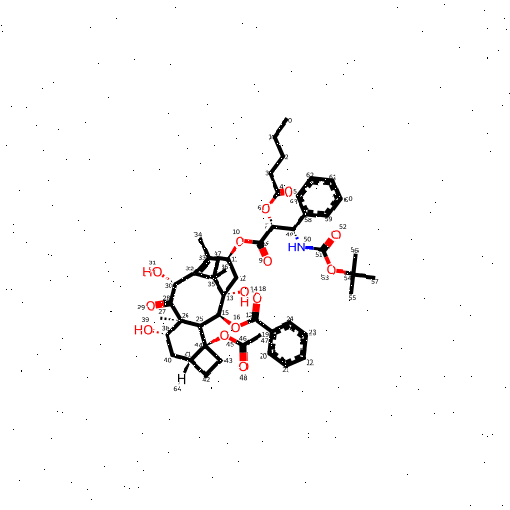 CCCCC(=O)O[C@@H](C(=O)O[C@H]1C[C@@]2(O)[C@@H](OC(=O)c3ccccc3)C3[C@](C)(C(=O)[C@H](O)C(=C1C)C2(C)C)[C@@H](O)C[C@H]1CC[C@@]31OC(C)=O)[C@@H](NC(=O)OC(C)(C)C)c1ccccc1